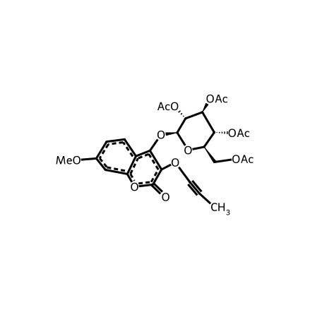 CC#COc1c(O[C@@H]2O[C@H](COC(C)=O)[C@@H](OC(C)=O)[C@H](OC(C)=O)[C@H]2OC(C)=O)c2ccc(OC)cc2oc1=O